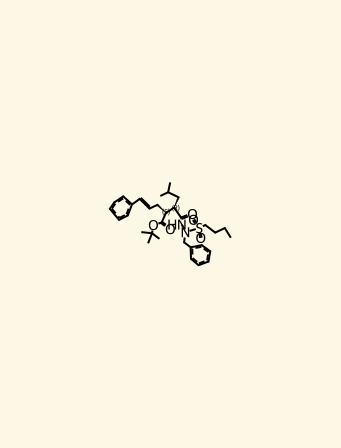 CCCCS(=O)(=O)N(Cc1ccccc1)NC(=O)[C@H](CC(C)C)[C@H](CC=Cc1ccccc1)C(=O)OC(C)(C)C